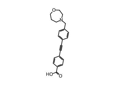 O=C(O)c1ccc(C#Cc2ccc(CN3CCCOCC3)cc2)cc1